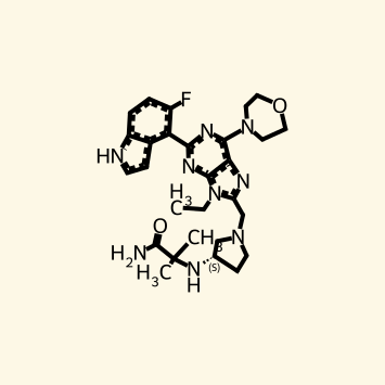 CCn1c(CN2CC[C@H](NC(C)(C)C(N)=O)C2)nc2c(N3CCOCC3)nc(-c3c(F)ccc4[nH]ccc34)nc21